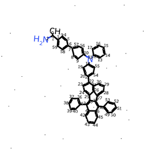 CC(N)c1ccc(-c2ccc(N(c3ccccc3)c3ccc(-c4ccc5c6c(cccc46)-c4c-5c(-c5ccccc5)c5ccccc5c4-c4ccccc4)cc3)cc2)cc1